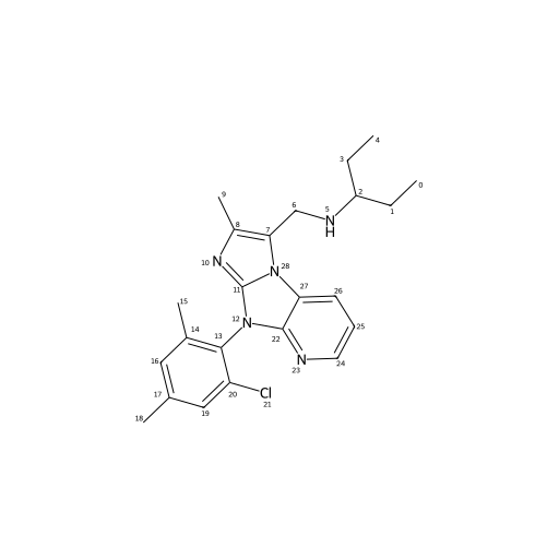 CCC(CC)NCc1c(C)nc2n(-c3c(C)cc(C)cc3Cl)c3ncccc3n12